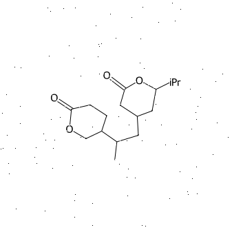 CC(C)C1CC(CC(C)C2CCC(=O)OC2)CC(=O)O1